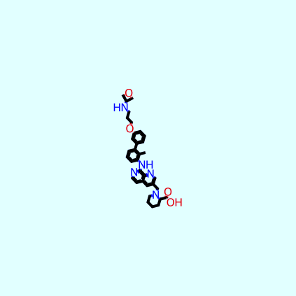 Cc1c(Nc2nccc3cc(CN4CCCCC4C(=O)O)cnc23)cccc1-c1cccc(OCCCNC2COC2)c1